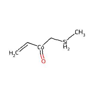 C=[CH][Co](=[O])[CH2][SiH2]C